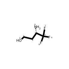 N[C@@H](CCO)C(F)(F)F